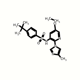 CC.Cc1cn(-c2ncc(Cl)cc2NS(=O)(=O)c2ccc(C(C)(C)C)cc2)cn1